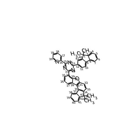 CC1(C)c2ccccc2-c2ccc(-c3nc(-c4ccccn4)nc(-c4cccc5c4oc4ccc6c(c45)-c4ccccc4C6(C)C)n3)cc21